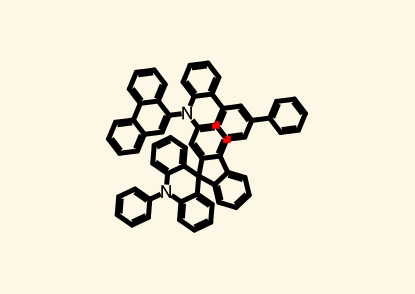 c1ccc(-c2cccc(-c3ccccc3N(c3ccc4c(c3)C3(c5ccccc5-4)c4ccccc4N(c4ccccc4)c4ccccc43)c3cc4ccccc4c4ccccc34)c2)cc1